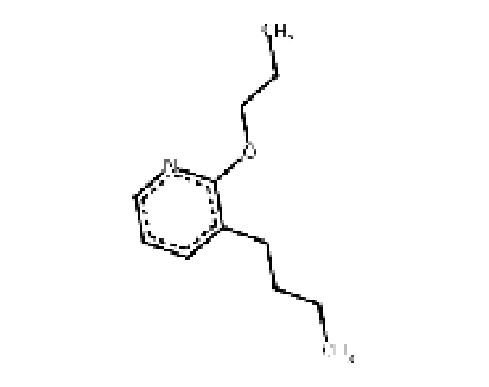 CCCCc1cccnc1OCCC